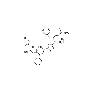 CC[C@H](C)[C@H](CN[C@H](C[C@@H](O)c1nc(N(C(=O)O)C(Cc2ccccc2)CC(C)C(=O)OC)cs1)C1CCCCC1)NC(=O)OC(C)(C)C